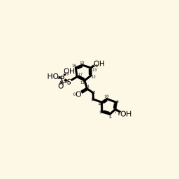 O=C(CCc1ccc(O)cc1)c1cc(O)ccc1SP(=O)(O)O